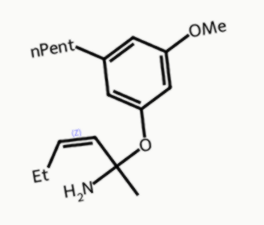 CC/C=C\C(C)(N)Oc1cc(CCCCC)cc(OC)c1